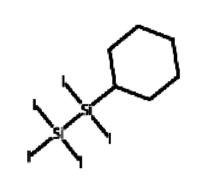 I[Si](I)(I)[Si](I)(I)C1CCCCC1